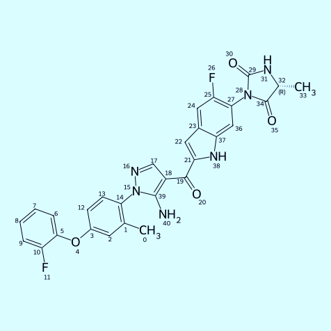 Cc1cc(Oc2ccccc2F)ccc1-n1ncc(C(=O)c2cc3cc(F)c(N4C(=O)N[C@H](C)C4=O)cc3[nH]2)c1N